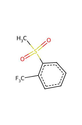 CS(=O)(=O)c1ccccc1C(F)(F)F